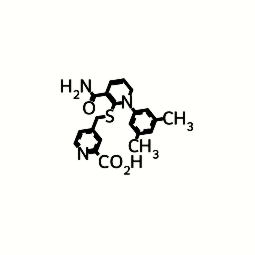 Cc1cc(C)cc(N2CC=CC(C(N)=O)=C2SCc2ccnc(C(=O)O)c2)c1